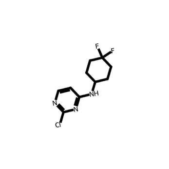 FC1(F)CCC(Nc2ccnc(Cl)n2)CC1